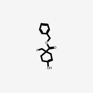 O=C(OCc1ccccc1)C1(CF)CC=C(O)CC1